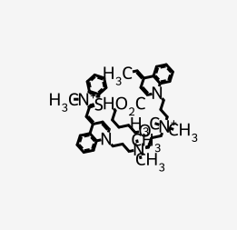 C/C=C1\C=CN(CCC[N+](C)(C)CC(C[N+](C)(C)CCCN2C=C/C(=C\c3sc4ccccc4[n+]3C)c3ccccc32)OCCCCCC(=O)O)c2ccccc21